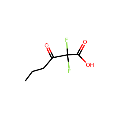 CCCC(=O)C(F)(F)C(=O)O